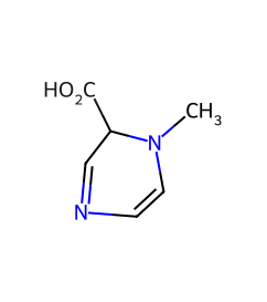 CN1C=CN=CC1C(=O)O